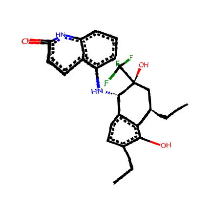 CCc1ccc2c(c1O)[C@H](CC)C[C@@](O)(C(F)(F)F)[C@H]2Nc1cccc2[nH]c(=O)ccc12